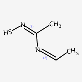 C/C=N\C(C)=N/S